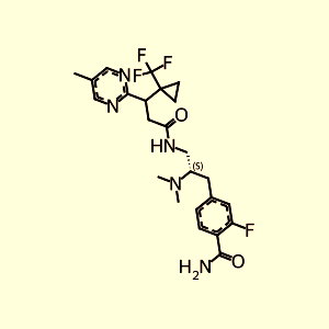 Cc1cnc(C(CC(=O)NC[C@H](Cc2ccc(C(N)=O)c(F)c2)N(C)C)C2(C(F)(F)F)CC2)nc1